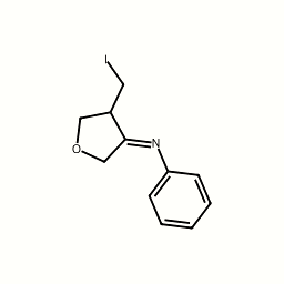 ICC1COC/C1=N\c1ccccc1